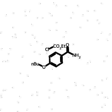 CCCCOc1ccc(C(N)=O)cc1.CCOC(=O)Cl